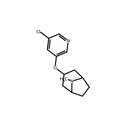 CN1C2CCC1CC(Oc1cncc(Cl)c1)C2